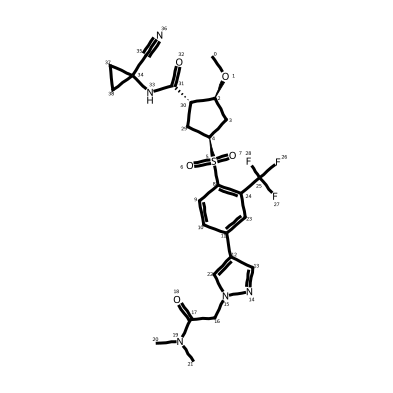 CO[C@H]1C[C@@H](S(=O)(=O)c2ccc(-c3cnn(CC(=O)N(C)C)c3)cc2C(F)(F)F)C[C@@H]1C(=O)NC1(C#N)CC1